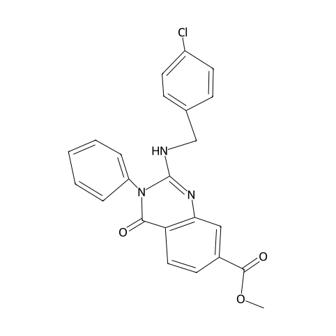 COC(=O)c1ccc2c(=O)n(-c3ccccc3)c(NCc3ccc(Cl)cc3)nc2c1